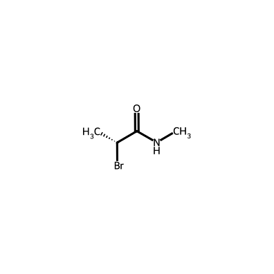 CNC(=O)[C@@H](C)Br